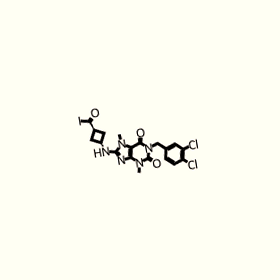 Cn1c(N[C@H]2C[C@H](C(=O)I)C2)nc2c1c(=O)n(Cc1ccc(Cl)c(Cl)c1)c(=O)n2C